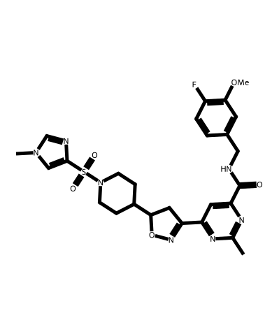 COc1cc(CNC(=O)c2cc(C3=NOC(C4CCN(S(=O)(=O)c5cn(C)cn5)CC4)C3)nc(C)n2)ccc1F